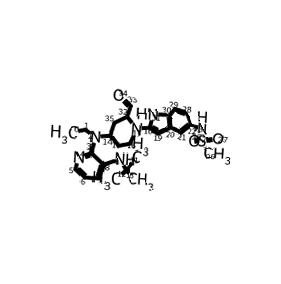 CCN(c1ncccc1NC(C)(C)C)C1CCN(c2cc3cc(NS(C)(=O)=O)ccc3[nH]2)C(C=O)C1